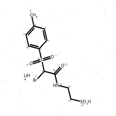 Cc1ccc(S(=O)(=O)C(Br)C(=O)NCCS(=O)(=O)O)cc1.[LiH]